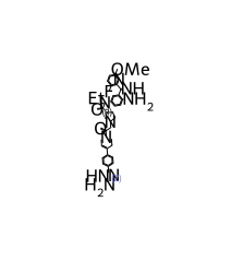 CCN(C(=O)[C@@H]1CCN(CC(=O)N2CC=C(c3ccc(C(=N)/N=C\N)cc3)CC2)C1)c1ccc(N)c(C(=N)c2nc(OC)ccc2F)c1